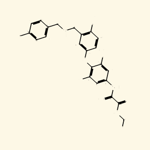 CCOC(=O)C(=O)Nc1cc(C)c(Oc2ccc(O)c(CNCc3ccc(Cl)cc3)c2)c(C)c1